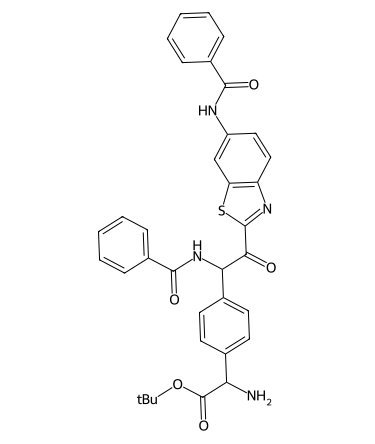 CC(C)(C)OC(=O)C(N)c1ccc(C(NC(=O)c2ccccc2)C(=O)c2nc3ccc(NC(=O)c4ccccc4)cc3s2)cc1